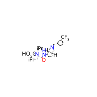 CC(C)C[C@@H](C(=O)N[C@@H]1CC[C@H]2CN(Cc3cccc(C(F)(F)F)c3)C[C@H]21)N(CC(C)C)C(=O)O